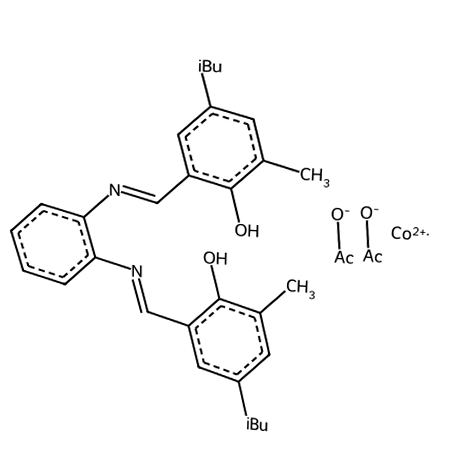 CC(=O)[O-].CC(=O)[O-].CCC(C)c1cc(C)c(O)c(C=Nc2ccccc2N=Cc2cc(C(C)CC)cc(C)c2O)c1.[Co+2]